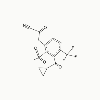 CS(=O)(=O)c1c(CC(=O)C#N)ccc(C(F)(F)F)c1C(=O)C1CC1